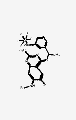 Cc1nc(NC(C)c2cccc(NS(F)(F)(F)(F)F)c2)c2cc(Br)c(NC(C)C)cc2n1